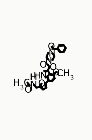 COc1ccc(-c2ccc(CNC(C)=O)o2)c2[nH]cc(C(=O)C(=O)N3CCN(C(=O)c4ccccc4)CC3)c12